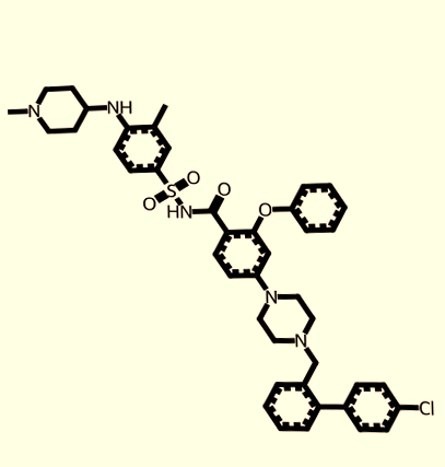 Cc1cc(S(=O)(=O)NC(=O)c2ccc(N3CCN(Cc4ccccc4-c4ccc(Cl)cc4)CC3)cc2Oc2ccccc2)ccc1NC1CCN(C)CC1